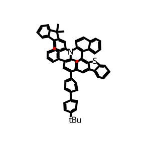 CC(C)(C)c1ccc(-c2ccc(-c3ccc(N(c4ccc5c(c4)C(C)(C)c4ccccc4-5)c4ccc5ccccc5c4-c4cccc5c4sc4ccccc45)c(-c4ccccc4)c3)cc2)cc1